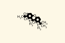 CC(C)(C)c1ccc2c(c1)C(C)(C)c1cc(C(C)(C)C)ccc1O2